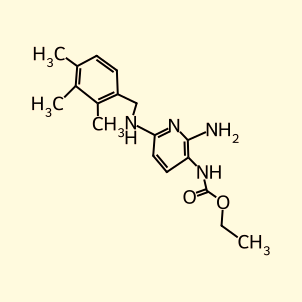 CCOC(=O)Nc1ccc(NCc2ccc(C)c(C)c2C)nc1N